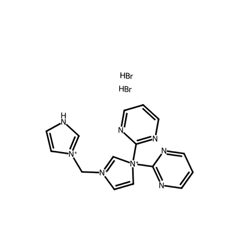 Br.Br.C1=C[N+](c2ncccn2)(c2ncccn2)C=[N+]1C[n+]1cc[nH]c1